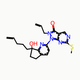 C=CCCCC1(O)CCc2ccc(-n3c4nc(SC)ncc4c(=O)n3CC=C)nc21